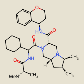 CN[C@@H](C)C(=O)NC(C(=O)N1C[C@H]2C[C@H](C)[C@H](C)N2C[C@H]1C(=O)N[C@@H]1CCOc2ccccc21)C1CCCCC1